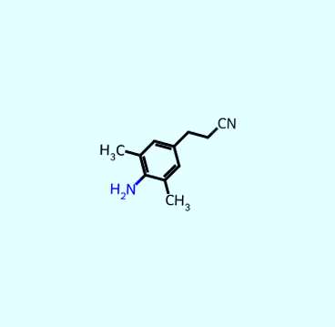 Cc1cc(CCC#N)cc(C)c1N